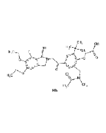 Br.CCOc1cc2c(c(F)c1OCC)C(=N)N(CC(=O)c1cc(CN(C)C(C)=O)c(OCC(=O)O)c(C(C)(C)C)c1)C2